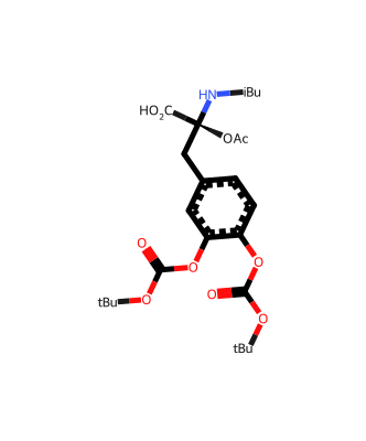 CCC(C)N[C@@](Cc1ccc(OC(=O)OC(C)(C)C)c(OC(=O)OC(C)(C)C)c1)(OC(C)=O)C(=O)O